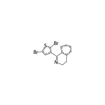 Brc1cc(C2=NCCc3ccccc32)c(Br)s1